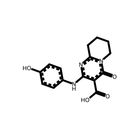 O=C(O)c1c(Nc2ccc(O)cc2)nc2n(c1=O)CCCC2